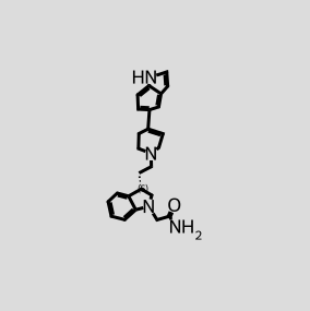 NC(=O)CN1C[C@@H](CCN2CC=C(c3ccc4[nH]ccc4c3)CC2)c2ccccc21